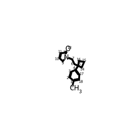 Cc1ccc(C2(CCN3CC=CC3=O)CCC2)cc1